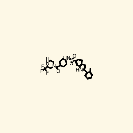 Cc1ccccc1-c1cc2ccc(S(=O)(=O)NC3CCC(C(=O)N4CCNC(C(F)(F)F)C4)CC3)cc2[nH]1